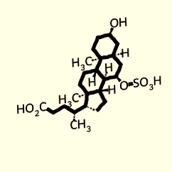 C[C@H](CCC(=O)O)[C@H]1CC[C@H]2[C@@H]3[C@H](OS(=O)(=O)O)C[C@@H]4C[C@H](O)CC[C@]4(C)[C@H]3CC[C@]12C